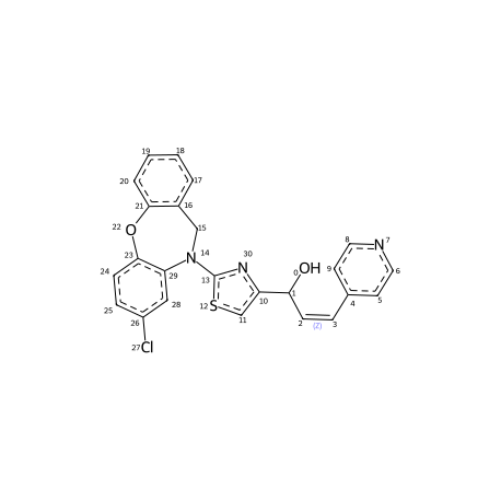 OC(/C=C\c1ccncc1)c1csc(N2Cc3ccccc3Oc3ccc(Cl)cc32)n1